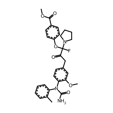 COC(=O)c1ccc(OC(F)(C(=O)Cc2ccc(N(C(N)=O)c3ccccc3C)c(OC)c2)N2CCCC2)cc1